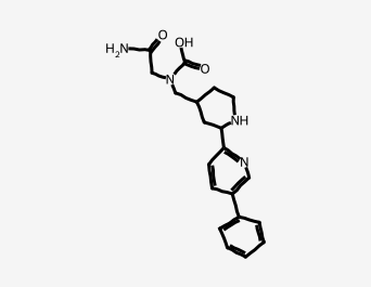 NC(=O)CN(CC1CCNC(c2ccc(-c3ccccc3)cn2)C1)C(=O)O